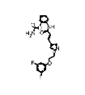 NC(=O)Oc1ccccc1NC(=O)C=Cc1cnn(CCOc2cc(F)cc(F)c2)c1